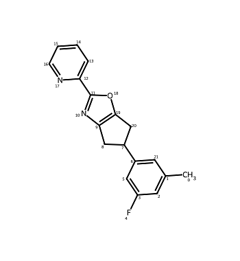 Cc1cc(F)cc(C2Cc3nc(-c4ccccn4)oc3C2)c1